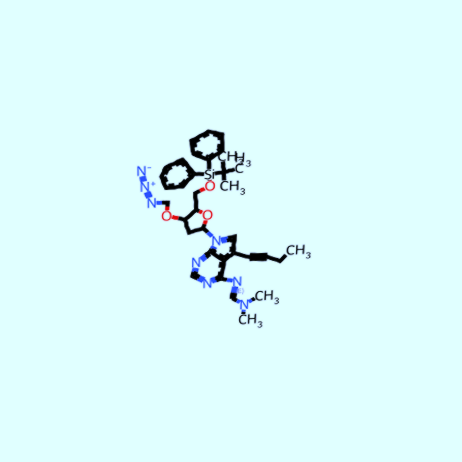 CCC#Cc1cn(C2CC(OCN=[N+]=[N-])C(CO[Si](c3ccccc3)(c3ccccc3)C(C)(C)C)O2)c2ncnc(/N=C/N(C)C)c12